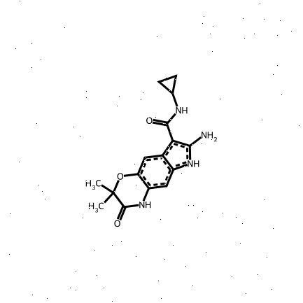 CC1(C)Oc2cc3c(C(=O)NC4CC4)c(N)[nH]c3cc2NC1=O